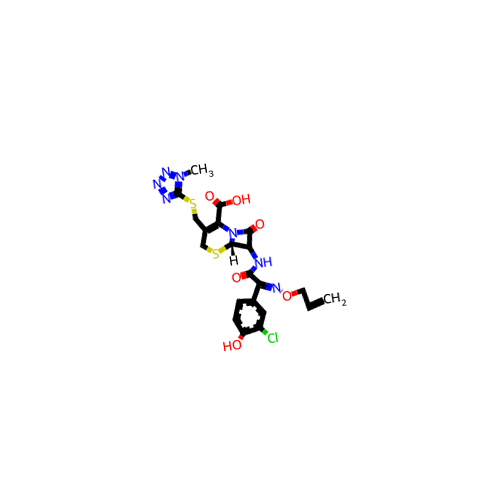 C=CCON=C(C(=O)NC1C(=O)N2C(C(=O)O)=C(CSc3nnnn3C)CS[C@@H]12)c1ccc(O)c(Cl)c1